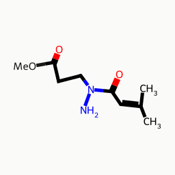 COC(=O)CCN(N)C(=O)C=C(C)C